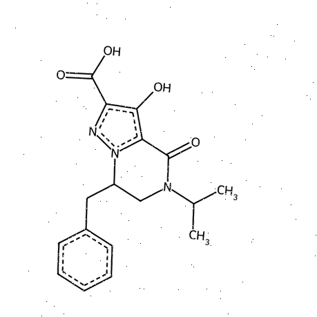 CC(C)N1CC(Cc2ccccc2)n2nc(C(=O)O)c(O)c2C1=O